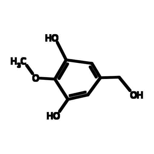 COc1c(O)cc(CO)cc1O